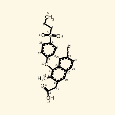 CCCS(=O)(=O)c1ccc(Oc2c(C)c(CC(=O)O)cc3ccc(F)cc23)cc1